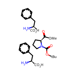 COC(=O)[C@@H]1CCCN1C(=O)OC(C)(C)C.N[C@@H](Cc1ccccc1)C(=O)O.N[C@@H](Cc1ccccc1)C(=O)O